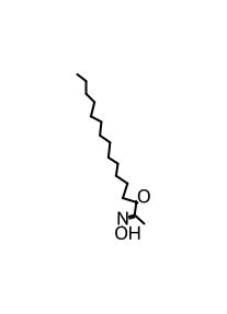 CCCCCCCCCCCCCC(=O)C(C)=NO